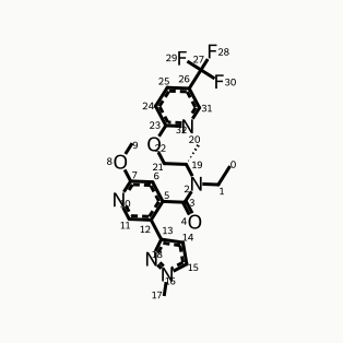 CCN(C(=O)c1cc(OC)ncc1-c1ccn(C)n1)[C@@H](C)COc1ccc(C(F)(F)F)cn1